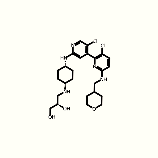 OC[C@H](O)CN[C@H]1CC[C@H](Nc2cc(-c3nc(NCC4CCOCC4)ccc3Cl)c(Cl)cn2)CC1